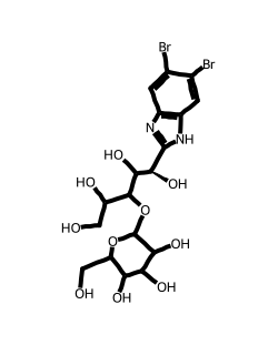 OCC(O)C(OC1OC(CO)C(O)C(O)C1O)C(O)[C@H](O)c1nc2cc(Br)c(Br)cc2[nH]1